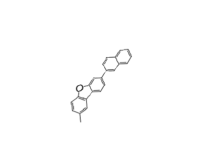 Cc1ccc2oc3cc(-c4ccc5ccccc5c4)ccc3c2c1